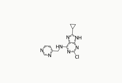 Clc1nc(NCc2ccncn2)c2nc(C3CC3)[nH]c2n1